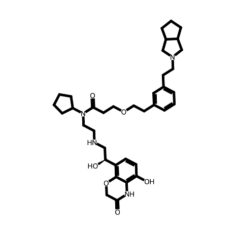 O=C1COc2c([C@@H](O)CNCCN(C(=O)CCOCCc3cccc(CCN4CC5CCCC5C4)c3)C3CCCC3)ccc(O)c2N1